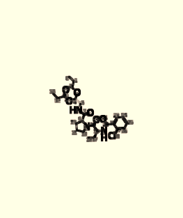 CCCO[C@H](CNC(=O)[C@@H]1CCCN1C(=O)[C@H](CC)NC(=O)c1ccccc1Cl)OC(=O)CC